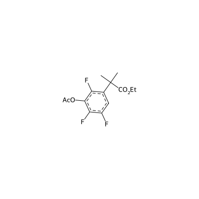 CCOC(=O)C(C)(C)c1cc(F)c(F)c(OC(C)=O)c1F